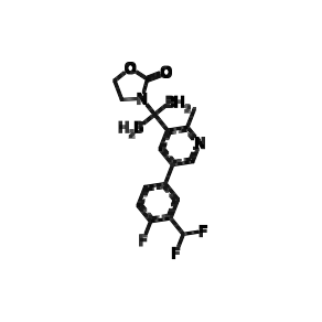 BC(B)(c1cc(-c2ccc(F)c(C(F)F)c2)cnc1C)N1CCOC1=O